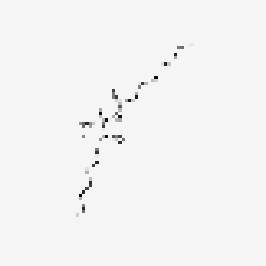 CCCCCCCC(=O)OC(C)(NC)C(=O)CCCCCCC